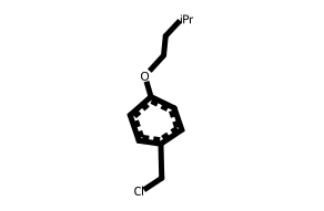 CC(C)CCOc1ccc(CCl)cc1